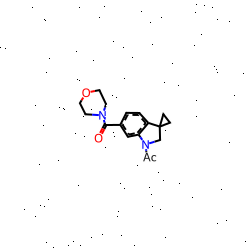 CC(=O)N1CC2(CC2)c2ccc(C(=O)N3CCOCC3)cc21